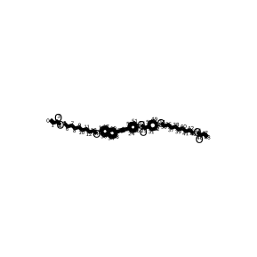 C=CC(=O)OCCCCCCCCCOc1ccc2cc(C#Cc3ccc(OC(=O)C4CCC(OCCCCCCCCCOC(=O)C=C)CC4)cc3)ccc2c1